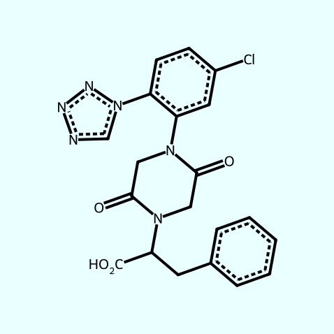 O=C(O)C(Cc1ccccc1)N1CC(=O)N(c2cc(Cl)ccc2-n2cnnn2)CC1=O